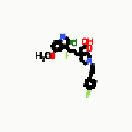 COc1ccc2ncc(Cl)c(C(F)CCC3(CC(=O)O)CCN(CC#Cc4ccc(F)cc4)CC3)c2c1